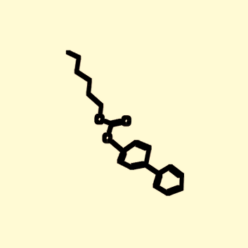 CCCCCCOC(=O)Oc1ccc(-c2ccccc2)cc1